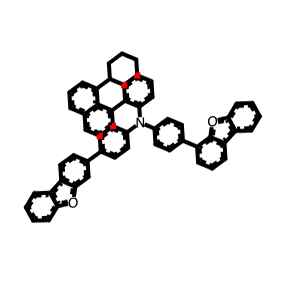 c1ccc(N(c2ccc(-c3ccc4c(c3)oc3ccccc34)cc2)c2ccc(-c3cccc4c3oc3ccccc34)cc2)c(-c2cccc3cccc(C4CCCCC4)c23)c1